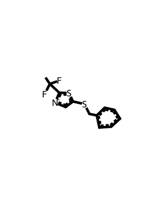 CC(F)(F)c1ncc(SCc2ccccc2)s1